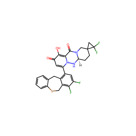 O=C1c2c(O)c(=O)cc(-c3cc(F)c(F)c4c3Cc3ccccc3SC4)n2N[C@@H]2CCC3(CN12)CC3(F)F